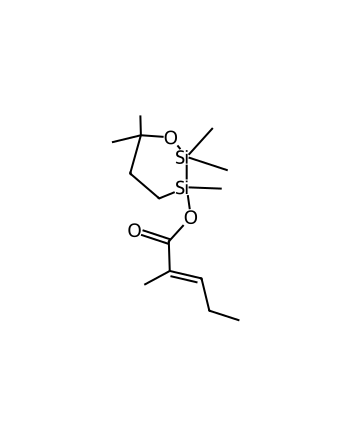 CCC=C(C)C(=O)O[Si]1(C)CCC(C)(C)O[Si]1(C)C